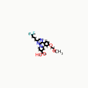 COCCOc1ccc(-c2ncc(CCCC(F)F)nc2N2CCC(C(=O)O)CC2)cc1